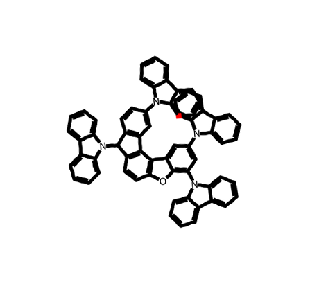 c1ccc2c(c1)c1ccccc1n2-c1ccc2c(c1)-c1c(ccc3oc4c(-n5c6ccccc6c6ccccc65)cc(-n5c6ccccc6c6ccccc65)cc4c13)C2n1c2ccccc2c2ccccc21